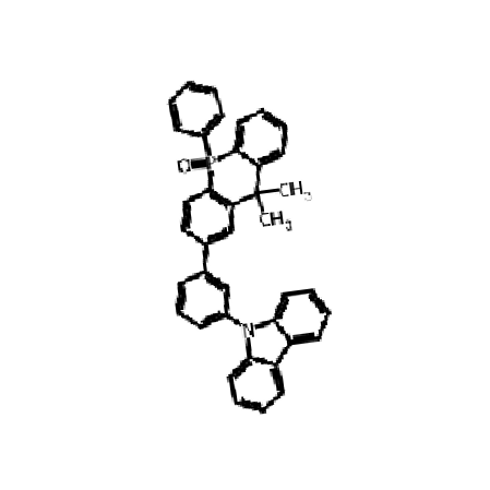 CC1(C)c2ccccc2P(=O)(c2ccccc2)c2ccc(-c3cccc(-n4c5ccccc5c5ccccc54)c3)cc21